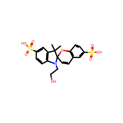 CC1(C)c2cc(S(=O)(=O)O)ccc2N(CCO)C12C=Cc1cc(S(=O)(=O)O)ccc1O2